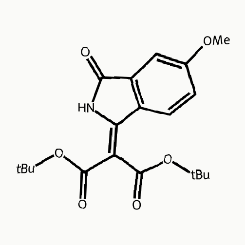 COc1ccc2c(c1)C(=O)NC2=C(C(=O)OC(C)(C)C)C(=O)OC(C)(C)C